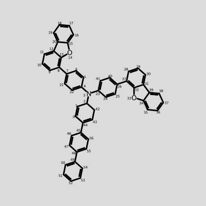 C1=CC(N(c2ccc(-c3cccc4c3oc3ccccc34)cc2)c2ccc(-c3cccc4c3oc3ccccc34)cc2)CC=C1c1ccc(-c2ccccc2)cc1